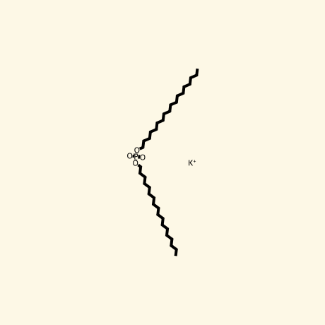 CCCCCCCCCCCCCCCCCCOP(=O)([O-])OCCCCCCCCCCCCCCCCCC.[K+]